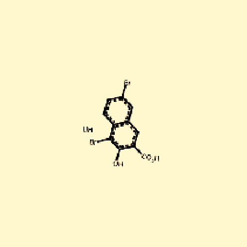 O=C(O)c1cc2cc(Br)ccc2c(Br)c1O.[LiH]